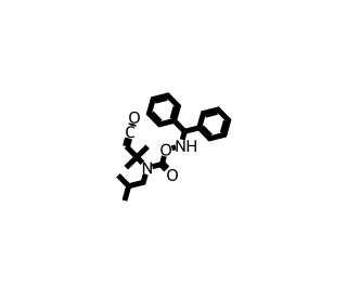 CC(C)CN(C(=O)ONC(c1ccccc1)c1ccccc1)C(C)(C)C=C=O